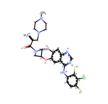 C=C(CN1CCN(C)CC1)C(=O)N1CC(Oc2cc3c(Nc4ccc(F)c(Cl)c4F)ncnc3cc2OC)C1